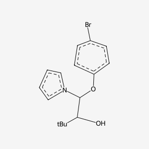 CC(C)(C)C(O)C(Oc1ccc(Br)cc1)n1cccc1